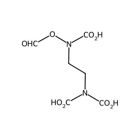 O=CON(CCN(C(=O)O)C(=O)O)C(=O)O